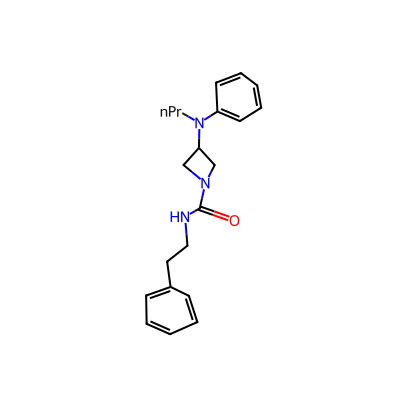 CCCN(c1ccccc1)C1CN(C(=O)NCCc2ccccc2)C1